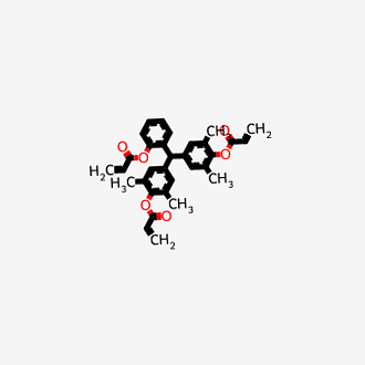 C=CC(=O)Oc1ccccc1C(c1cc(C)c(OC(=O)C=C)c(C)c1)c1cc(C)c(OC(=O)C=C)c(C)c1